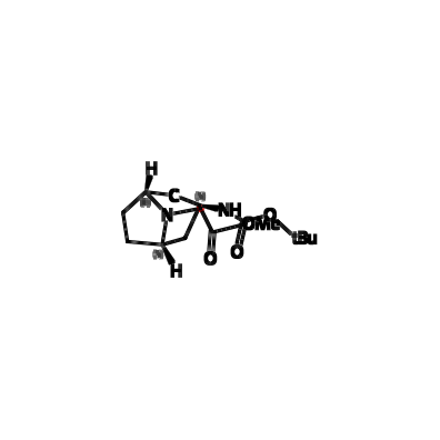 COC(=O)CN1[C@@H]2CC[C@H]1C[C@H](NC(=O)OC(C)(C)C)C2